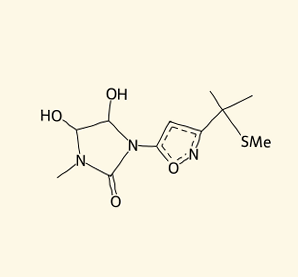 CSC(C)(C)c1cc(N2C(=O)N(C)C(O)C2O)on1